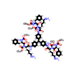 CC(C)(C)OC(=O)N[C@@H](Cc1ccccc1)C(=O)N(C(=O)OC(C)(C)C)[C@@H](CCCCN)C(=O)Nc1ccc(C(c2ccc(NC(=O)[C@H](CCCCN)N(C(=O)OC(C)(C)C)C(=O)[C@H](Cc3ccccc3)NC(=O)OC(C)(C)C)cc2)c2ccc(NC(=O)[C@H](CCCCN)N(C(=O)OC(C)(C)C)C(=O)[C@H](Cc3ccccc3)NC(=O)OC(C)(C)C)cc2)cc1